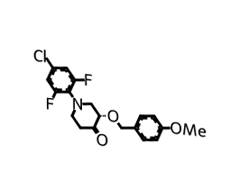 COc1ccc(CO[C@H]2CN(c3c(F)cc(Cl)cc3F)CCC2=O)cc1